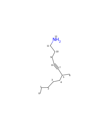 CCCCCC(C)C#CCCCN